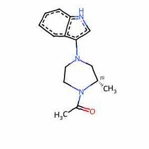 CC(=O)N1CCN(c2c[nH]c3ccccc23)C[C@@H]1C